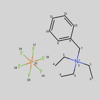 CC[N+](CC)(CC)Cc1ccccc1.F[P-](F)(F)(F)(F)F